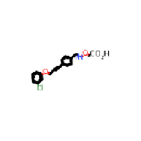 O=C(O)CO/N=C/c1ccc(C#CCOc2cccc(Cl)c2)cc1